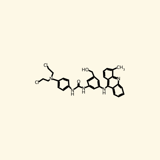 Cc1cccc2c(Nc3cc(CO)cc(NC(=O)Nc4ccc(N(CCCl)CCCl)cc4)c3)c3ccccc3nc12